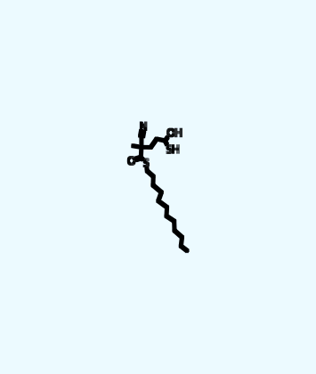 CCCCCCCCCCCCSC(=O)C(C)(C#N)CCC(O)S